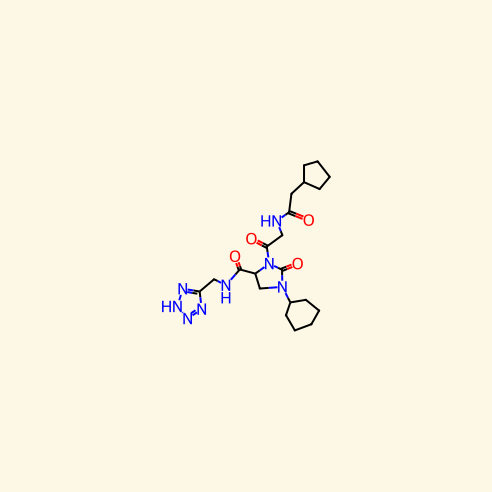 O=C(CC1CCCC1)NCC(=O)N1C(=O)N(C2CCCCC2)CC1C(=O)NCc1nn[nH]n1